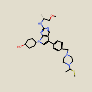 COC[C@@H](C)Nc1ncc2c(-c3ccc(CN4CCN(C(C)SC)CC4)cc3)cn([C@H]3CC[C@H](O)CC3)c2n1